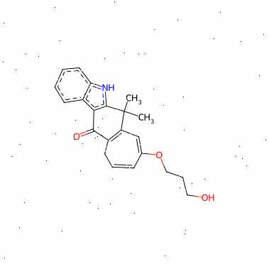 CC1(C)C2=C(CC=CC(OCCCO)=C2)C(=O)c2c1[nH]c1ccccc21